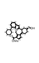 COC(=O)C1=C2Cn3c(cc4cccc(C5CCCCC5)c43)C3CC(=NO)CCC3=C2C=C1